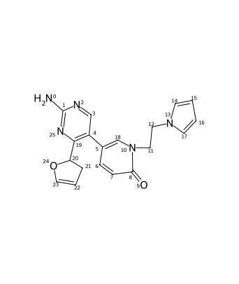 Nc1ncc(-c2ccc(=O)n(CCn3cccc3)c2)c(C2CC=CO2)n1